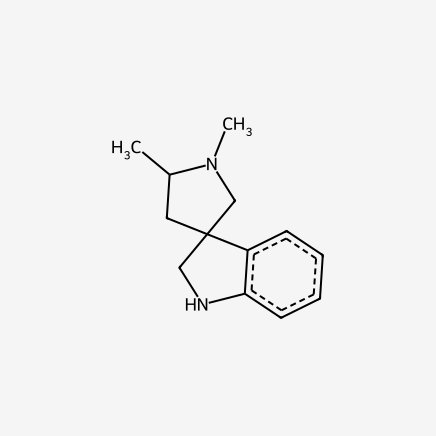 CC1CC2(CNc3ccccc32)CN1C